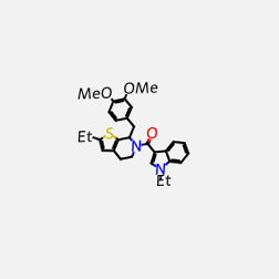 CCc1cc2c(s1)C(Cc1ccc(OC)c(OC)c1)N(C(=O)c1cn(CC)c3ccccc13)CC2